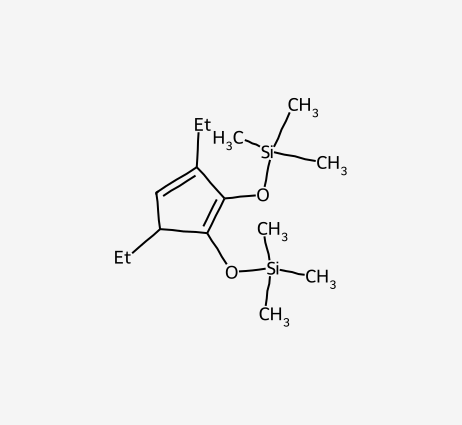 CCC1=CC(CC)C(O[Si](C)(C)C)=C1O[Si](C)(C)C